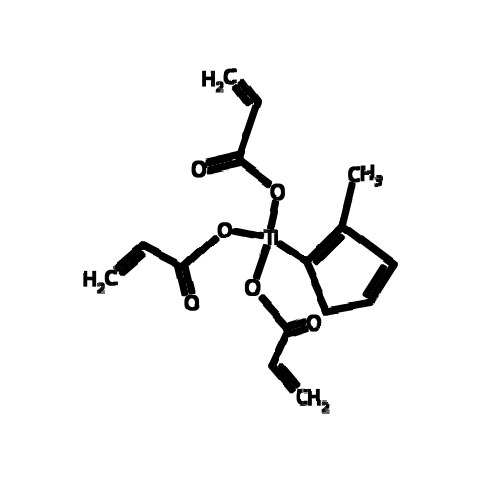 C=CC(=O)[O][Ti]([O]C(=O)C=C)([O]C(=O)C=C)[C]1=C(C)C=CC1